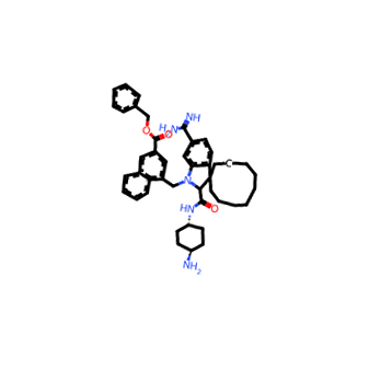 N=C(N)c1ccc2c(c1)N(Cc1cc(C(=O)OCc3ccccc3)cc3ccccc13)C(C(=O)N[C@H]1CC[C@H](N)CC1)C21CCCCCCCCC1